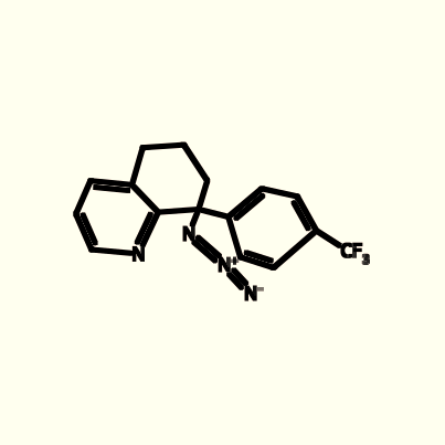 [N-]=[N+]=NC1(c2ccc(C(F)(F)F)cc2)CCCc2cccnc21